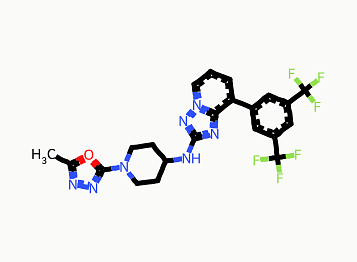 Cc1nnc(N2CCC(Nc3nc4c(-c5cc(C(F)(F)F)cc(C(F)(F)F)c5)cccn4n3)CC2)o1